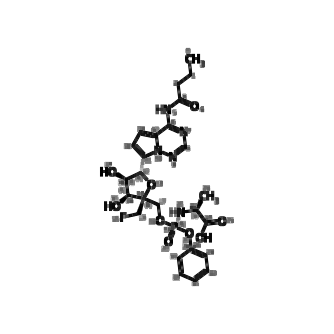 CCCC(=O)Nc1ncnn2c([C@@H]3O[C@](CF)(CO[P@@](=O)(N[C@@H](C)C(=O)O)Oc4ccccc4)[C@@H](O)[C@H]3O)ccc12